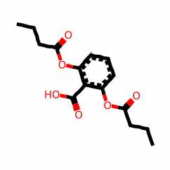 CCCC(=O)Oc1[c]ccc(OC(=O)CCC)c1C(=O)O